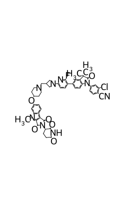 Cn1c2c(c3ccc(OC4CCN(CC5CN(c6ccc(-c7ccc8c(c7)C(C)(C)C(=O)N8c7ccc(C#N)c(Cl)c7)c(F)n6)C5)CC4)cc31)C(=O)N(C1CCC(=O)NC1=O)C2=O